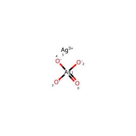 O=[As]([O-])([O-])[O-].[Ag+3]